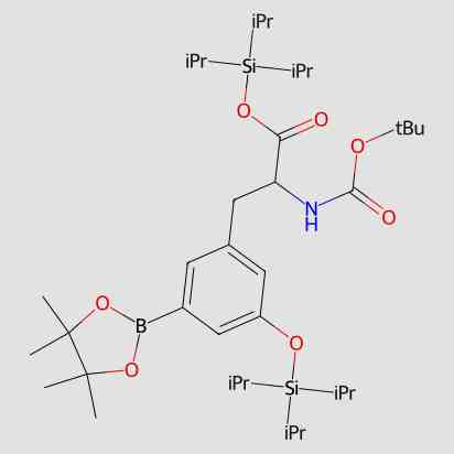 CC(C)[Si](OC(=O)C(Cc1cc(O[Si](C(C)C)(C(C)C)C(C)C)cc(B2OC(C)(C)C(C)(C)O2)c1)NC(=O)OC(C)(C)C)(C(C)C)C(C)C